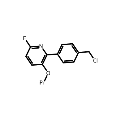 CC(C)Oc1ccc(F)nc1-c1ccc(CCl)cc1